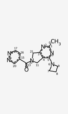 Cc1nc2c(c(N3CCC3)n1)CN(C(=O)c1ccnnc1)C2